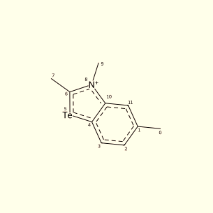 Cc1ccc2[te]c(C)[n+](C)c2c1